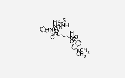 CN(C)c1cccc2c(S(=O)(=O)NCCCCCNC(=O)[C@H](Cc3ccccc3)NC(=O)Nc3n[nH]c(=S)s3)cccc12